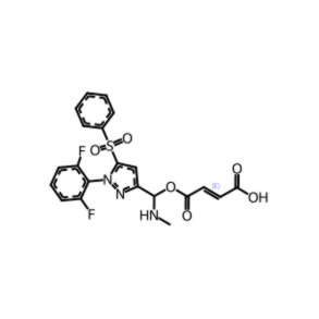 CNC(OC(=O)/C=C/C(=O)O)c1cc(S(=O)(=O)c2ccccc2)n(-c2c(F)cccc2F)n1